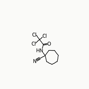 N#CC1(NC(=O)C(Cl)(Cl)Cl)CCCCCC1